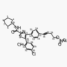 O=C(NN1CCCCC1)c1nc(-c2ccc(C#CCCO[N+](=O)[O-])cc2)c(-c2ccc(Cl)cc2Cl)s1